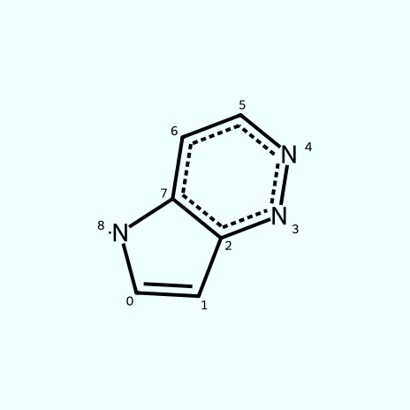 C1=Cc2nnccc2[N]1